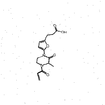 C=CC(=O)N1CCN(c2ccc(CCC(=O)O)o2)C(=O)C1C